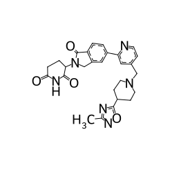 Cc1noc(C2CCN(Cc3ccnc(-c4ccc5c(c4)CN(C4CCC(=O)NC4=O)C5=O)c3)CC2)n1